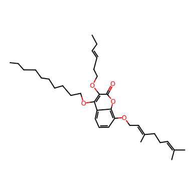 CC/C=C/CCOc1c(OCCCCCCCCCC)c2cccc(OC/C=C(\C)CCC=C(C)C)c2oc1=O